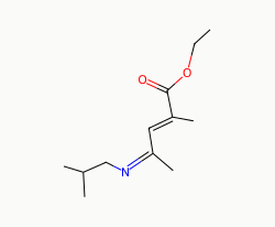 CCOC(=O)/C(C)=C/C(C)=N\CC(C)C